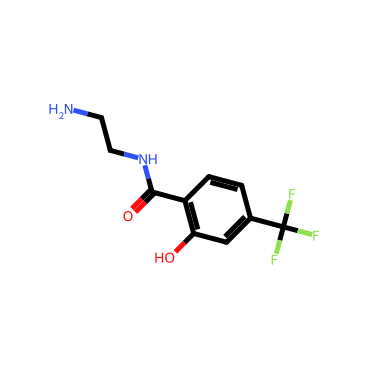 NCCNC(=O)c1ccc(C(F)(F)F)cc1O